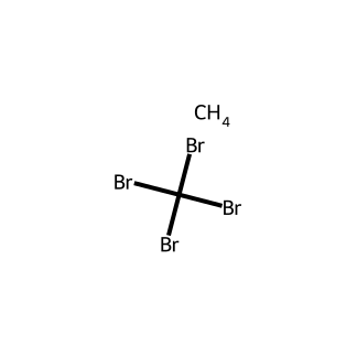 BrC(Br)(Br)Br.C